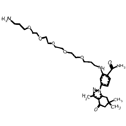 Cc1nn(-c2ccc(C(N)=O)c(NCCCOCCOCCOCCOCCOCCCN)c2)c2c1C(=O)CC(C)(C)C2